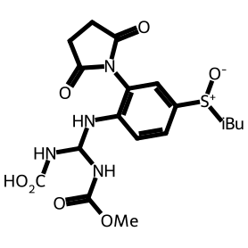 CCC(C)[S+]([O-])c1ccc(NC(NC(=O)O)NC(=O)OC)c(N2C(=O)CCC2=O)c1